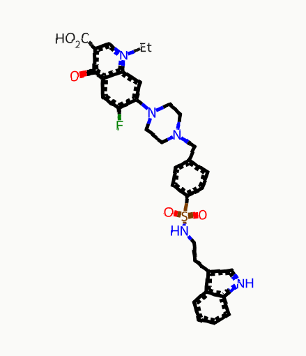 CCn1cc(C(=O)O)c(=O)c2cc(F)c(N3CCN(Cc4ccc(S(=O)(=O)NCCc5c[nH]c6ccccc56)cc4)CC3)cc21